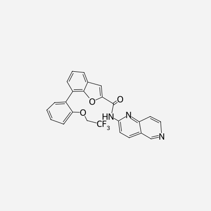 O=C(Nc1ccc2cnccc2n1)c1cc2cccc(-c3ccccc3OCC(F)(F)F)c2o1